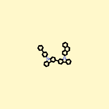 c1ccc(-c2ccc(-n3c4ccccc4c4cc(-c5ccc6c7ccccc7n(-c7ccc8c(ccc9ccccc98)c7)c6c5)ccc43)cc2)cc1